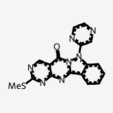 CSc1ncc2c(=O)n3c(nc2n1)c1ccccc1n3-c1cnccn1